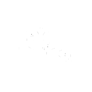 CC(=O)O[C@@]12CCC(N(C)C(=O)/C=C/c3ccc(C(F)(F)F)cc3)C3Oc4c(O)ccc5c4[C@@]31CCN(C)[C@@H]2C5